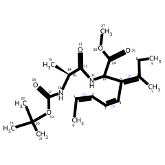 C\C=C/C=C\C(=C(/C)CC)C(NC(=O)[C@H](C)NC(=O)OC(C)(C)C)C(=O)OC